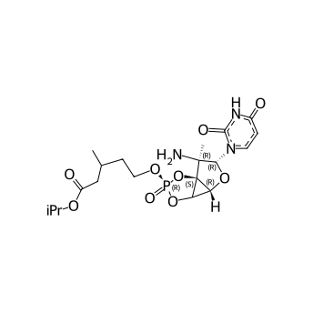 CC(CCO[P@]1(=O)OC2[C@H]3O[C@@H](n4ccc(=O)[nH]c4=O)[C@](C)(N)[C@@]23O1)CC(=O)OC(C)C